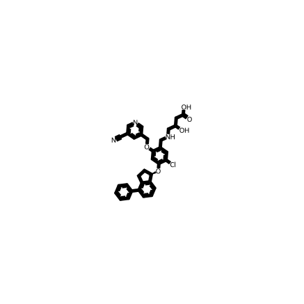 N#Cc1cncc(COc2cc(O[C@@H]3CCc4c(-c5ccccc5)cccc43)c(Cl)cc2CNCC(O)CC(=O)O)c1